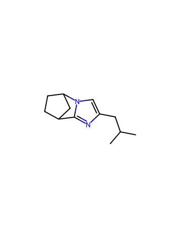 CC(C)Cc1cn2c(n1)C1CCC2C1